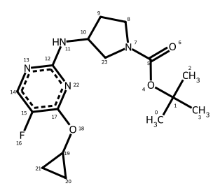 CC(C)(C)OC(=O)N1CCC(Nc2ncc(F)c(OC3CC3)n2)C1